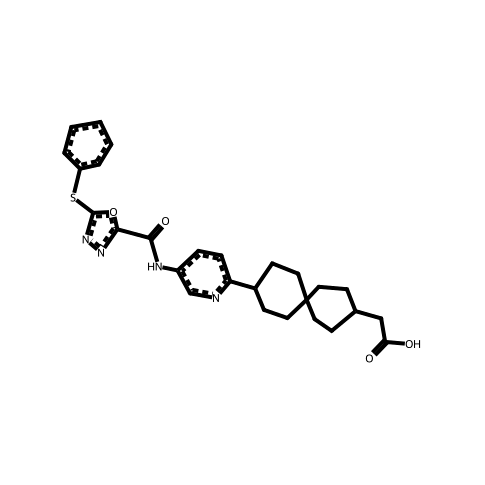 O=C(O)CC1CCC2(CC1)CCC(c1ccc(NC(=O)c3nnc(Sc4ccccc4)o3)cn1)CC2